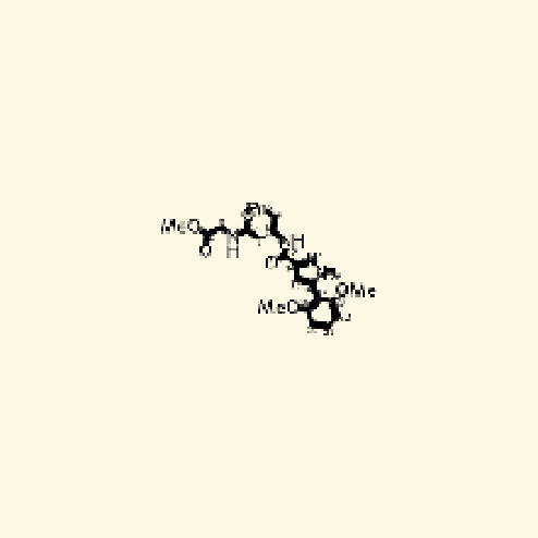 COC(=O)CNC(=O)C[C@H](CC(C)C)NC(=O)c1cc(-c2c(OC)cccc2OC)n(C)n1